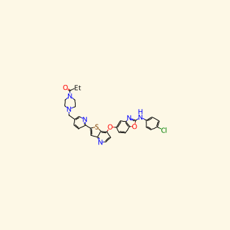 CCC(=O)N1CCN(Cc2ccc(-c3cc4nccc(Oc5ccc6oc(Nc7ccc(Cl)cc7)nc6c5)c4s3)nc2)CC1